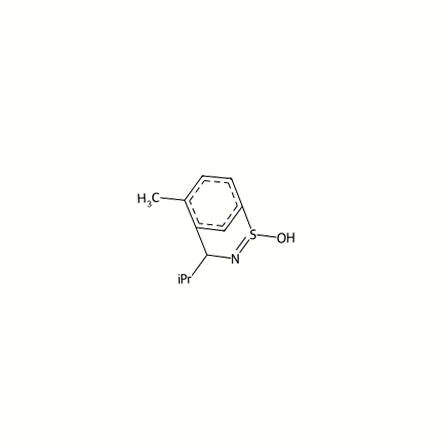 Cc1ccc2cc1C(C(C)C)N=S2O